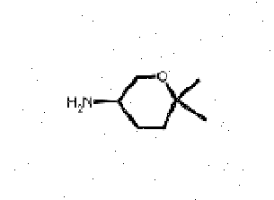 CC1(C)CC[C@@H](N)CO1